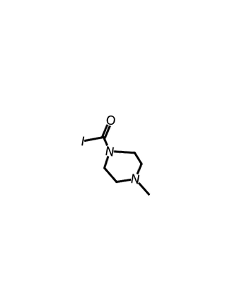 CN1CCN(C(=O)I)CC1